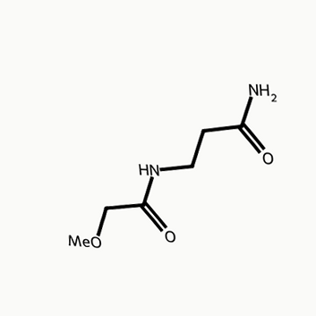 [CH2-][OH+]CC(=O)NCCC(N)=O